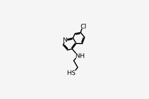 SCCNc1ccnc2cc(Cl)ccc12